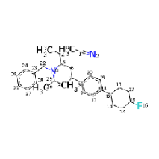 CC#N.CCC(CCc1ccc(C2CCC(F)CC2)cc1)N(Cc1ccccc1)C(C)C